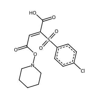 O=C(/C=C(/C(=O)O)S(=O)(=O)c1ccc(Cl)cc1)ON1CCCCC1